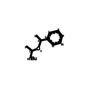 CCCCC(C)OC(C)c1ccccc1